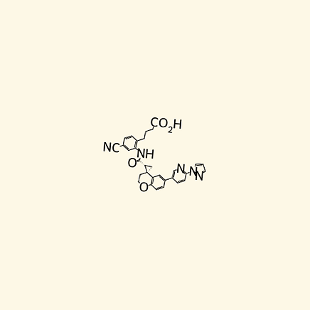 N#Cc1ccc(CCCC(=O)O)c(NC(=O)[C@@H]2C[C@]23CCOc2ccc(-c4ccc(-n5cccn5)nc4)cc23)c1